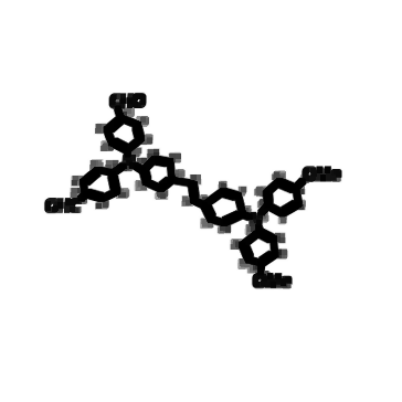 COc1ccc(N(c2ccc(C=Cc3ccc(N(c4ccc(C=O)cc4)c4ccc(C=O)cc4)cc3)cc2)c2ccc(OC)cc2)cc1